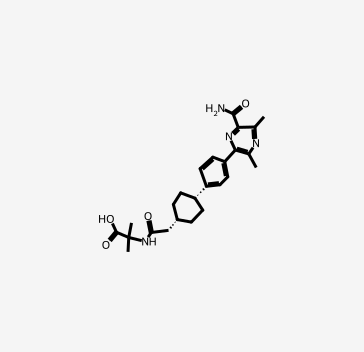 Cc1nc(C)c(-c2ccc([C@H]3CC[C@@H](CC(=O)NC(C)(C)C(=O)O)CC3)cc2)nc1C(N)=O